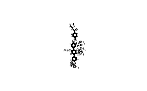 C=CCOC(=O)c1ccc(COc2ccc(-c3c(OC)cc(-c4ccc(OS(C)(=O)=O)cc4)c(OC)c3OS(C)(=O)=O)cc2OS(C)(=O)=O)cc1